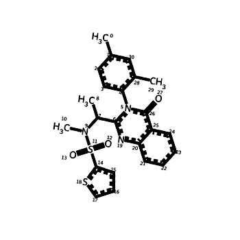 Cc1ccc(-n2c(C(C)N(C)S(=O)(=O)c3cccs3)nc3ccccc3c2=O)c(C)c1